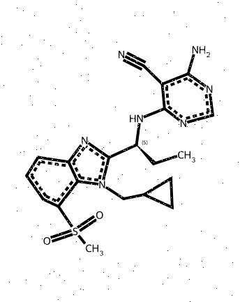 CC[C@H](Nc1ncnc(N)c1C#N)c1nc2cccc(S(C)(=O)=O)c2n1CC1CC1